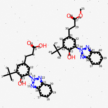 CC(C)(C)c1cc(CCC(=O)O)cc(-n2nc3ccccc3n2)c1O.COC(=O)CCc1cc(-n2nc3ccccc3n2)c(O)c(C(C)(C)C)c1